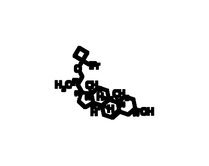 CC(C)C1(OC[C@@H](C)[C@H]2CC[C@H]3[C@@H]4CC=C5C[C@@H](O)CC[C@]5(C)[C@H]4CC[C@]23C)CCC1